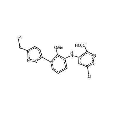 COc1c(Nc2cc(Cl)nnc2C(=O)O)cccc1-c1ccc(SC(C)C)nn1